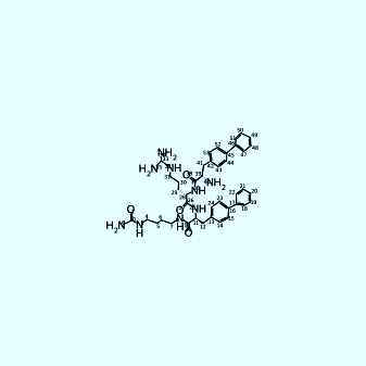 NC(=O)NCCCCNC(=O)[C@H](Cc1ccc(-c2ccccc2)cc1)NC(=O)[C@H](CCCNC(N)N)NC(=O)[C@@H](N)Cc1ccc(-c2ccccc2)cc1